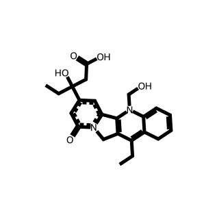 CCC1=C2CC=CC=C2N(CO)C2=C1Cn1c2cc(C(O)(CC)CC(=O)O)cc1=O